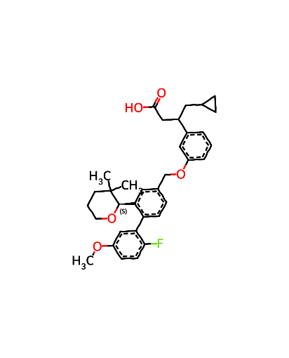 COc1ccc(F)c(-c2ccc(COc3cccc(C(CC(=O)O)CC4CC4)c3)cc2[C@H]2OCCCC2(C)C)c1